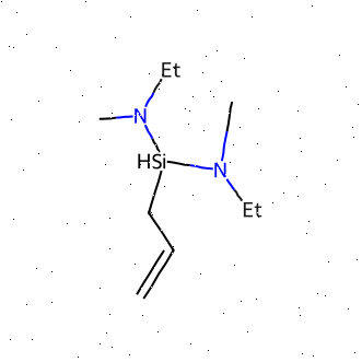 C=CC[SiH](N(C)CC)N(C)CC